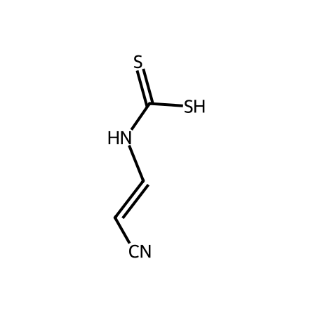 N#CC=CNC(=S)S